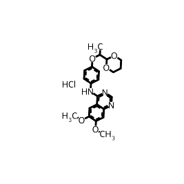 COc1cc2ncnc(Nc3ccc(OC(C)C4OCCCO4)cc3)c2cc1OC.Cl